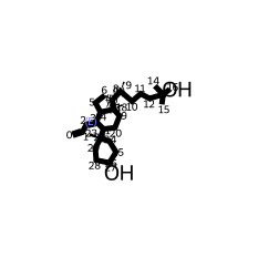 C=C/C=C1/C2CC[C@H]([C@H](C)CCCC(C)(C)O)[C@@]2(C)CCC1[C@]1(C)CC[C@@H](O)CC1